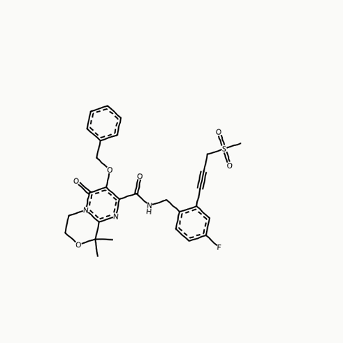 CC1(C)OCCn2c1nc(C(=O)NCc1ccc(F)cc1C#CCS(C)(=O)=O)c(OCc1ccccc1)c2=O